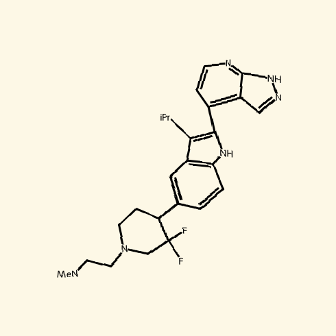 CNCCN1CCC(c2ccc3[nH]c(-c4ccnc5[nH]ncc45)c(C(C)C)c3c2)C(F)(F)C1